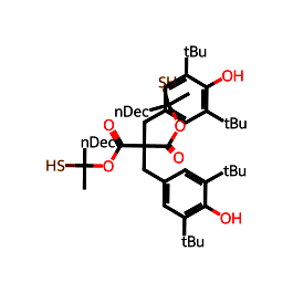 CCCCCCCCCCC(C)(S)OC(=O)C(Cc1cc(C(C)(C)C)c(O)c(C(C)(C)C)c1)(Cc1cc(C(C)(C)C)c(O)c(C(C)(C)C)c1)C(=O)OC(C)(S)CCCCCCCCCC